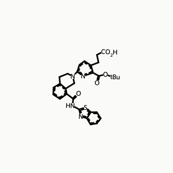 CC(C)(C)OC(=O)c1nc(N2CCc3cccc(C(=O)Nc4nc5ccccc5s4)c3C2)ccc1CCC(=O)O